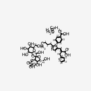 CCCCc1ncc(/C=C(\Cc2cccs2)C(=O)O)n1-c1ccc(C(=O)O)cc1.O.O.O=S(=O)(O)O[C@H]1[C@H](O)[C@@H](CO)O[C@@]1(CO)O[C@H]1O[C@H](CO)[C@@H](O)[C@H](O)[C@H]1O.[CaH2]